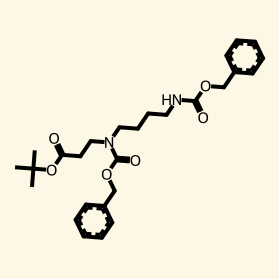 CC(C)(C)OC(=O)CCN(CCCCNC(=O)OCc1ccccc1)C(=O)OCc1ccccc1